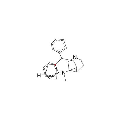 CN(C1C2CCN(CC2)C1C(c1ccccc1)c1ccccc1)[C@]12CC[C@H](CC1)C2